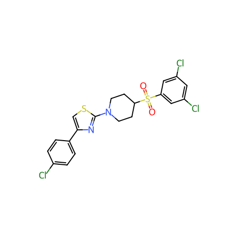 O=S(=O)(c1cc(Cl)cc(Cl)c1)C1CCN(c2nc(-c3ccc(Cl)cc3)cs2)CC1